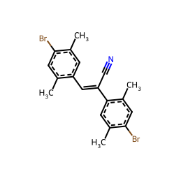 Cc1cc(/C=C(\C#N)c2cc(C)c(Br)cc2C)c(C)cc1Br